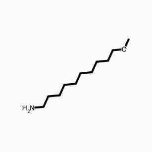 COCCCCCCCCCCN